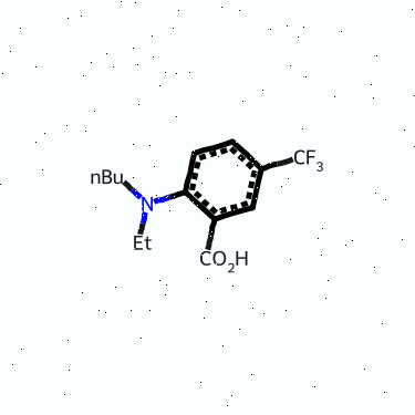 CCCCN(CC)c1ccc(C(F)(F)F)cc1C(=O)O